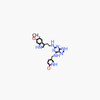 COc1ccc2c(CCNc3nc(NCc4ccc(=O)[nH]c4)c4nc[nH]c4n3)c[nH]c2c1